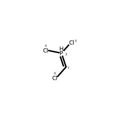 ClC=[PH](Cl)Cl